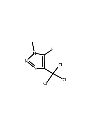 Cn1nnc(C(Cl)(Cl)Cl)c1F